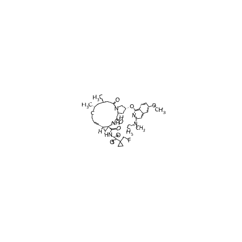 COc1ccc2c(O[C@@H]3C[C@H]4C(=O)N[C@]5(C(=O)NS(=O)(=O)C6(CF)CC6)C[C@@H]5/C=C\CC[C@H](C)C[C@@H](C)CC(=O)N4C3)nc(N(C)C)cc2c1